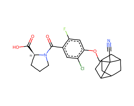 N#CC1(COc2cc(F)c(C(=O)N3CCC[C@H]3C(=O)O)cc2Cl)C2CC3CC(C2)C1C3